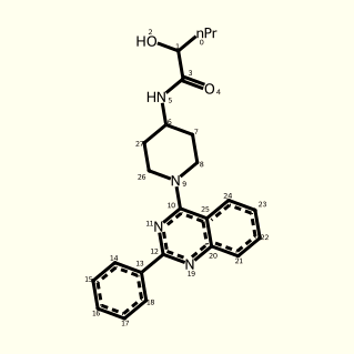 CCCC(O)C(=O)NC1CCN(c2nc(-c3ccccc3)nc3ccccc23)CC1